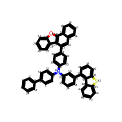 c1ccc(-c2ccc(N(c3ccc(-c4cc5ccccc5c5oc6ccccc6c45)cc3)c3cccc(-c4cccc5sc6ccccc6c45)c3)cc2)cc1